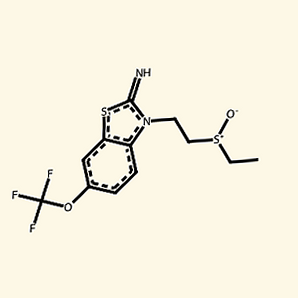 CC[S+]([O-])CCn1c(=N)sc2cc(OC(F)(F)F)ccc21